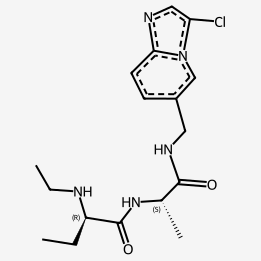 CCN[C@H](CC)C(=O)N[C@@H](C)C(=O)NCc1ccc2ncc(Cl)n2c1